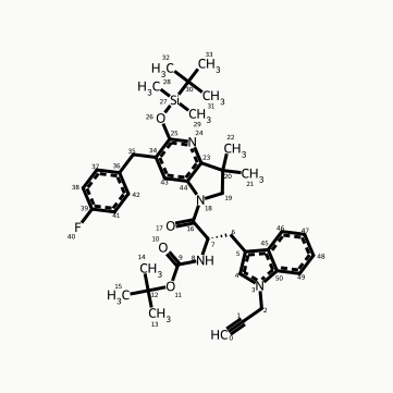 C#CCn1cc(C[C@H](NC(=O)OC(C)(C)C)C(=O)N2CC(C)(C)c3nc(O[Si](C)(C)C(C)(C)C)c(Cc4ccc(F)cc4)cc32)c2ccccc21